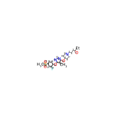 CCC(=O)CCCN1CCC(Oc2ncnc(Oc3ccc(S(C)(=O)=O)cc3F)c2C)CC1